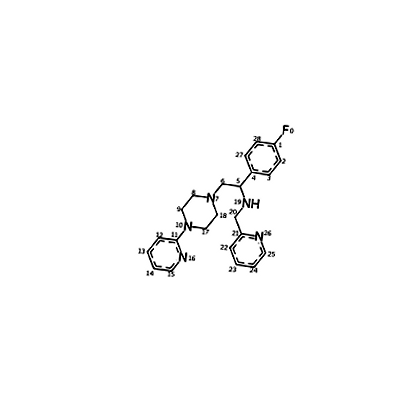 Fc1ccc(C(CN2CCN(c3ccccn3)CC2)NCc2ccccn2)cc1